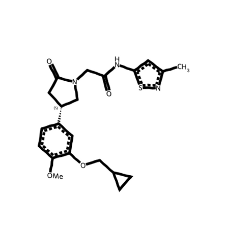 COc1ccc([C@@H]2CC(=O)N(CC(=O)Nc3cc(C)ns3)C2)cc1OCC1CC1